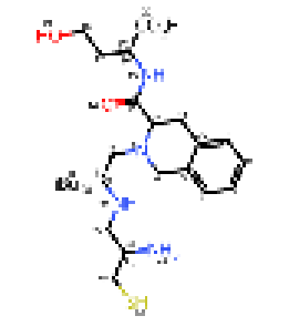 CC[C@H](C)[C@@H](CN1Cc2ccccc2CC1C(=O)N[C@@H](CCO)C(=O)O)NC[C@@H](N)CS